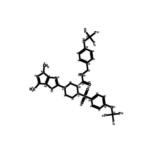 Cc1nn(C)c2nc(N3CCN(S(=O)(=O)c4ccc(OC(F)(F)F)cc4)[C@@H](C(=O)NCc4ccc(OC(F)(F)F)cc4)C3)sc12